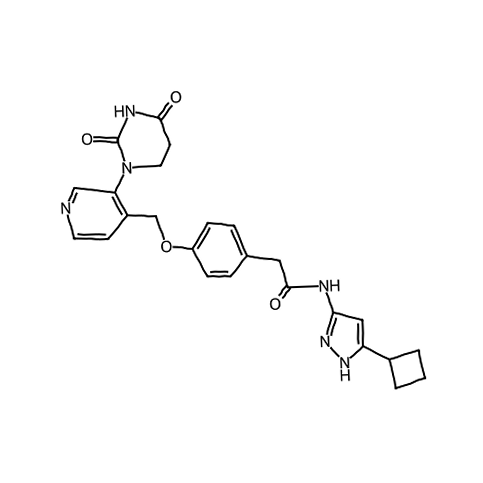 O=C1CCN(c2cnccc2COc2ccc(CC(=O)Nc3cc(C4CCC4)[nH]n3)cc2)C(=O)N1